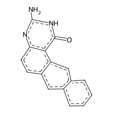 Nc1nc2ccc3cc4ccccc4cc3c2c(=O)[nH]1